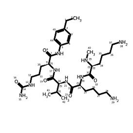 CCc1ccc(NC(=O)[C@H](CCCNC(N)=O)NC(=O)[C@@H](NC(=O)[C@H](CCCCN)NC(=O)[C@H](CCCCN)NC)C(C)C)cc1